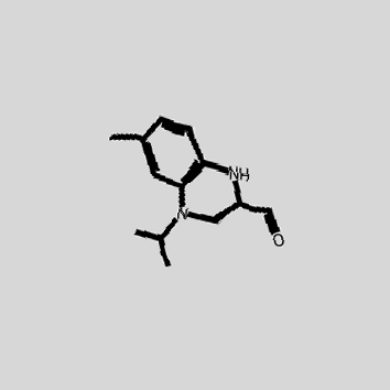 Cc1ccc2c(c1)N(C(C)C)CC(C=O)N2